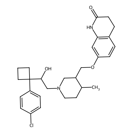 CC1CCN(CC(O)C2(c3ccc(Cl)cc3)CCC2)CC1COc1ccc2c(c1)NC(=O)CC2